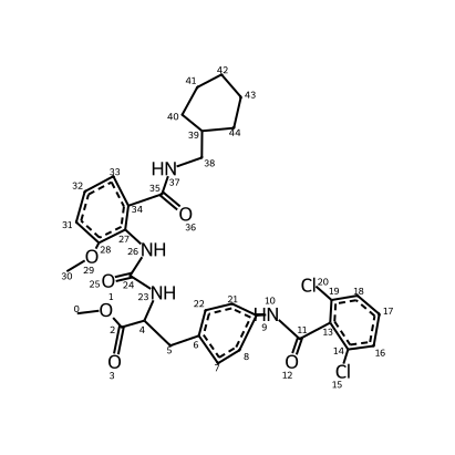 COC(=O)C(Cc1ccc(NC(=O)c2c(Cl)cccc2Cl)cc1)NC(=O)Nc1c(OC)cccc1C(=O)NCC1CCCCC1